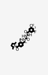 CC1CCC(C)N1C(=O)c1ccc([C@@H](C)NC(=O)NNC(=O)c2cc(F)cc(C(F)(F)F)c2)c(F)c1